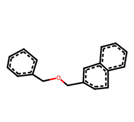 c1ccc(COCc2ccc3ccccc3c2)cc1